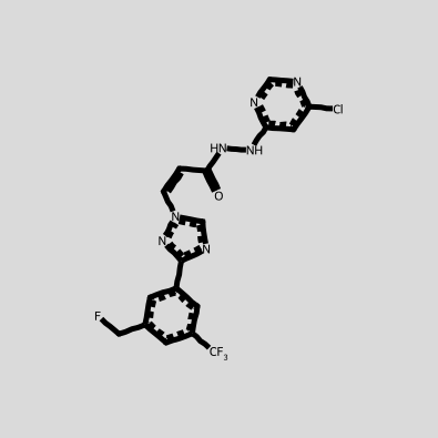 O=C(/C=C\n1cnc(-c2cc(CF)cc(C(F)(F)F)c2)n1)NNc1cc(Cl)ncn1